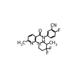 Cc1ccc(C(=O)Nc2ccc(F)c(C#N)c2)c(N2CCC(F)(F)C(C)C2)n1